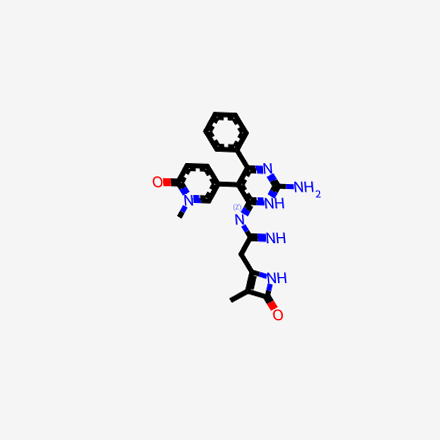 CC1=C(CC(=N)/N=c2\[nH]c(N)nc(-c3ccccc3)c2-c2ccc(=O)n(C)c2)NC1=O